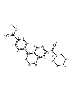 COC(=O)c1ccc(N2CCOc3cc(C(=O)N4CCCCC4)ccc32)cc1